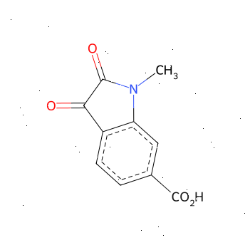 CN1C(=O)C(=O)c2ccc(C(=O)O)cc21